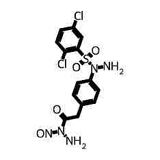 NN(N=O)C(=O)Cc1ccc(N(N)S(=O)(=O)c2cc(Cl)ccc2Cl)cc1